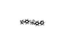 O=C(COc1ccc(-n2ccnc2)cc1)Nc1ccc(-c2cccnc2)cc1